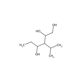 CCC(O)C(C(C)C)C(O)CO